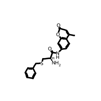 Cc1cc(=O)oc2cc(NC(=O)[C@@H](N)CSCc3ccccc3)ccc12